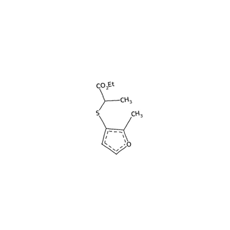 CCOC(=O)C(C)Sc1ccoc1C